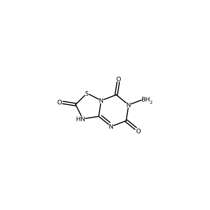 Bn1c(=O)nc2[nH]c(=O)sn2c1=O